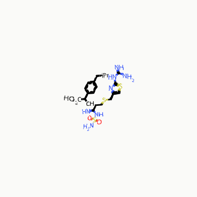 CC(C)Cc1ccc(C(C)C(=O)O)cc1.N=C(N)Nc1nc(CSCCC(=N)NS(N)(=O)=O)cs1